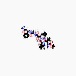 CN(C)C(=O)C[C@@H](NC(=O)CNC(=O)C(=O)[C@@H](CC1CCC1)NC(=O)[C@@H]1[C@@H]2[C@H](CN1C(=O)[C@@H](NC(=O)OC(C)(C)C)C(C)(C)C)C2(C)C)c1ccccc1